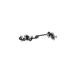 Nc1ncnc2c1c(-c1ccc(Oc3ccccc3)cc1)nn2C1CCCN(C(=O)CCCN2CCN(CCCCCCCCCSc3cccc4c3C(=O)N(C3CCC(=O)NC3=O)C4=O)CC2)C1